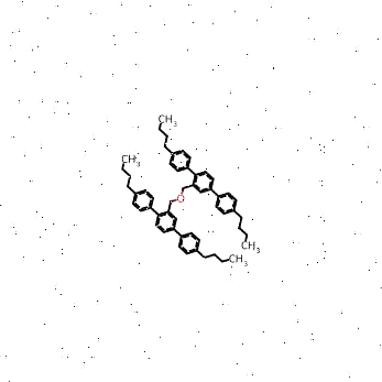 CCCCc1ccc(-c2ccc(-c3ccc(CCCC)cc3)c(COCc3cc(-c4ccc(CCCC)cc4)ccc3-c3ccc(CCCC)cc3)c2)cc1